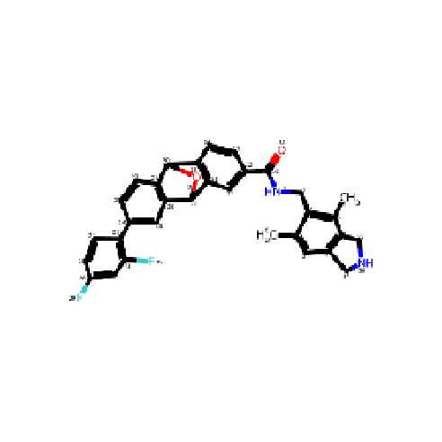 Cc1cc2c(c(C)c1CNC(=O)c1ccc3c(c1)C1OC3c3ccc(-c4ccc(F)cc4F)cc31)CNC2